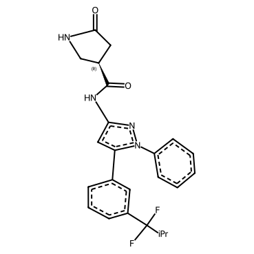 CC(C)C(F)(F)c1cccc(-c2cc(NC(=O)[C@H]3CNC(=O)C3)nn2-c2ccccc2)c1